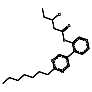 CCCCCCCc1ncc(-c2ccccc2OC(=O)CC(Cl)CC)cn1